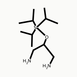 CC(C)[Si](OC(CN)CN)(C(C)C)C(C)C